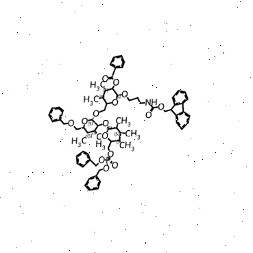 CC1[C@@H](OC2[C@@H](OCC3O[C@H](OCCCNC(=O)OCC4c5ccccc5-c5ccccc54)C(OC(=O)c4ccccc4)[C@@H](C)[C@@H]3C)OC(COCc3ccccc3)[C@@H](C)[C@@H]2C)OC(COP(=O)(OCc2ccccc2)OCc2ccccc2)[C@@H](C)[C@@H]1C